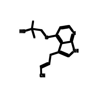 CC(C)(O)COc1ccnc2[nH]cc(CC=CC#N)c12